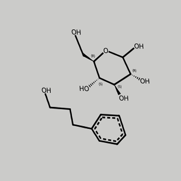 OCCCc1ccccc1.OC[C@H]1OC(O)[C@H](O)[C@@H](O)[C@@H]1O